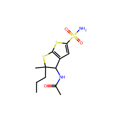 CCCC1(C)Sc2sc(S(N)(=O)=O)cc2C1NC(C)=O